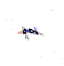 CCOc1ccc2nc3cc(N=Nc4cc(C)c(O)cc4C)ccc3c(N)c2c1